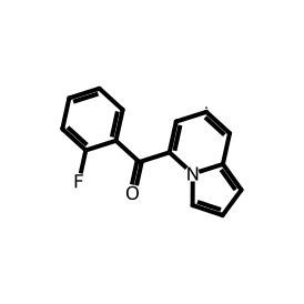 O=C(c1ccccc1F)c1c[c]cc2cccn12